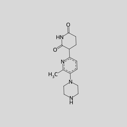 Cc1nc(C2CCC(=O)NC2=O)ccc1N1CCNCC1